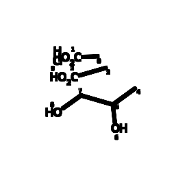 CC(=O)O.CC(=O)O.CC(O)CO.Cl